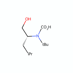 CC(C)C[C@H](CO)N(C(=O)O)C(C)(C)C